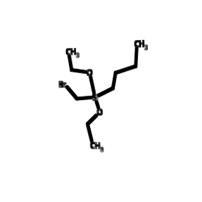 CCCC[Si](CBr)(OCC)OCC